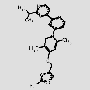 CC1=CC(OCc2coc(C)n2)=C(C)CN1c1ccnc(-c2ccnc(C(C)C)n2)c1